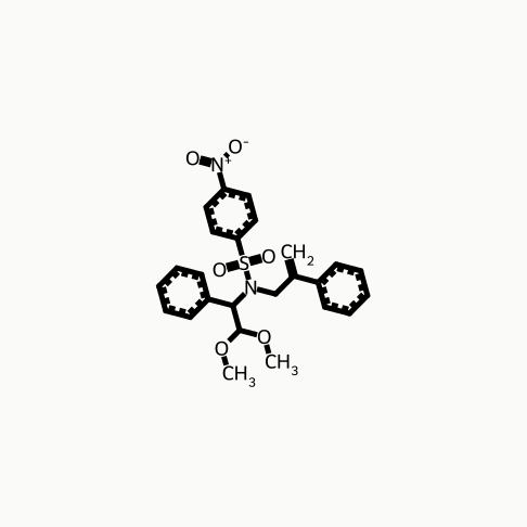 C=C(CN(C(c1ccccc1)C(OC)OC)S(=O)(=O)c1ccc([N+](=O)[O-])cc1)c1ccccc1